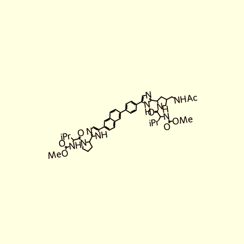 COC(=O)NC(C(=O)N1CCCC1c1ncc(-c2ccc3cc(-c4ccc(-c5cnc(C6CC(CNC(C)=O)CN6C(=O)C(NC(=O)OC)C(C)C)[nH]5)cc4)ccc3c2)[nH]1)C(C)C